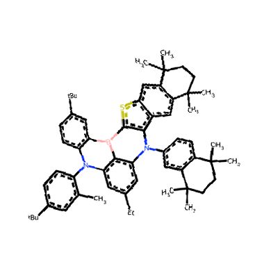 CCc1cc2c3c(c1)N(c1ccc4c(c1)C(C)(C)CCC4(C)C)c1c(sc4cc5c(cc14)C(C)(C)CCC5(C)C)B3c1cc(C(C)(C)C)ccc1N2c1ccc(C(C)(C)C)cc1C